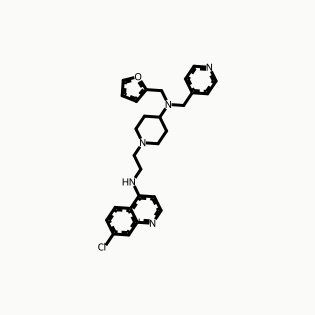 Clc1ccc2c(NCCN3CCC(N(Cc4ccncc4)Cc4ccco4)CC3)ccnc2c1